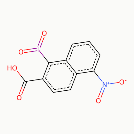 O=C(O)c1ccc2c([N+](=O)[O-])cccc2c1I(=O)=O